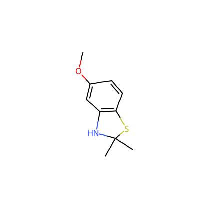 COc1ccc2c(c1)NC(C)(C)S2